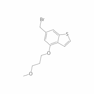 COCCCOc1cc(CBr)cc2sccc12